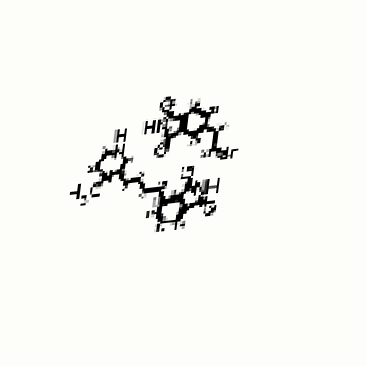 CN1CCNCC1CCCCc1cccc2c1C(=O)NC2=O.O=C1NC(=O)c2cc(CCBr)ccc21